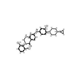 O=C1c2cnc(Nc3ccc(N4CCN(C5CC5)CC4)c(Cl)c3)nc2OCN1c1c(Cl)cccc1Cl